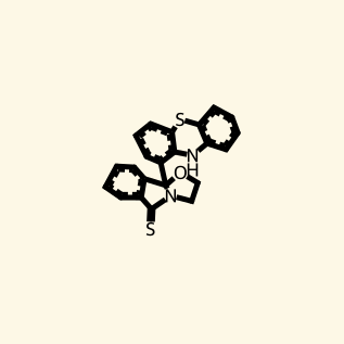 S=C1c2ccccc2C2(c3cccc4c3Nc3ccccc3S4)OCCN12